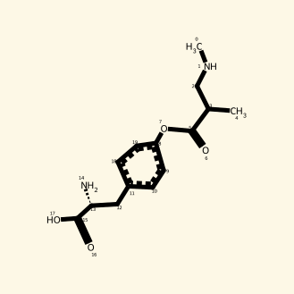 CNCC(C)C(=O)Oc1ccc(C[C@@H](N)C(=O)O)cc1